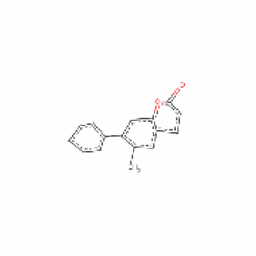 Cc1cc2ccc(=O)oc2cc1-c1ccccc1